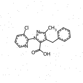 Cc1nn(-c2ncccc2Cl)c(C(=O)O)c1Cc1ccccc1